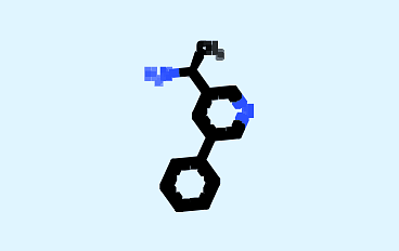 C[C@H](N)c1cncc(-c2ccccc2)c1